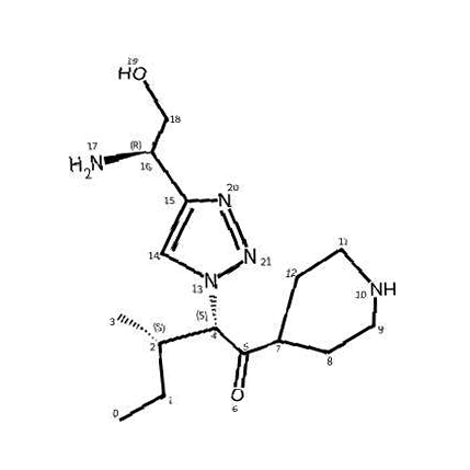 CC[C@H](C)[C@@H](C(=O)C1CCNCC1)n1cc([C@@H](N)CO)nn1